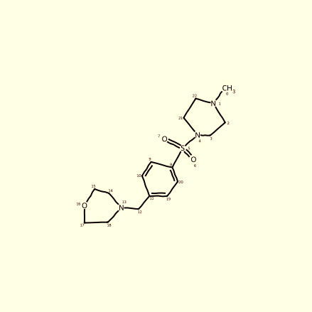 CN1CCN(S(=O)(=O)c2ccc(CN3CCOCC3)cc2)CC1